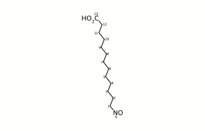 O=NCCCCCCCCCCCCC(=O)O